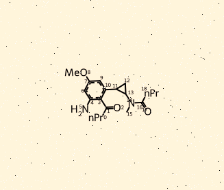 CCCC(=O)c1c(N)cc(OC)cc1C1CC1N(C)C(=O)CCC